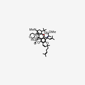 CNC12CC3C(C)(C)OC(C/C=C(/C)C(=O)OC)(C1=O)C31Oc3c(CC=C(C)C)c4c(c(OP(=O)(O)O)c3C(=O)C1C2N1CCOCC1)C=CC(C)(CCC=C(C)C)O4